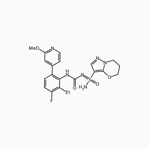 CCc1c(F)ccc(-c2ccnc(OC)c2)c1NC(=O)N=S(N)(=O)c1cnn2c1OCCC2